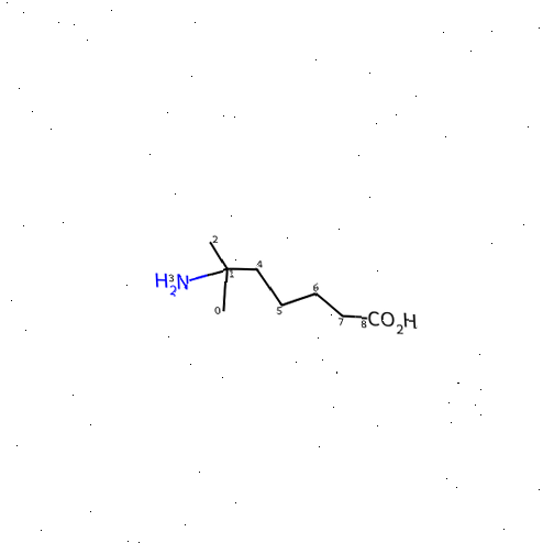 CC(C)(N)CCCCC(=O)O